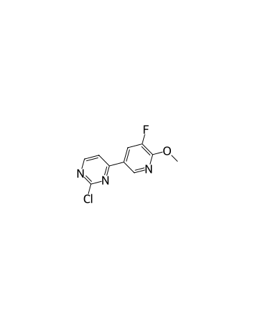 COc1ncc(-c2ccnc(Cl)n2)cc1F